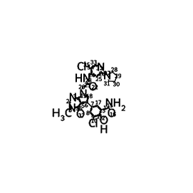 Cn1cnc2c(c(-c3cc(Cl)c(O)c(C(N)=O)c3)cn2CC(=O)Nc2cc(N3CCCC3)ncc2Cl)c1=O